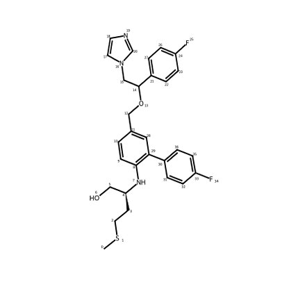 CSCC[C@@H](CO)Nc1ccc(COC(Cn2ccnc2)c2ccc(F)cc2)cc1-c1ccc(F)cc1